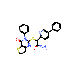 NC(=O)C(Sc1nc2c(c(=O)n1-c1ccccc1)SCC2)c1ccc(-c2ccccc2)cn1